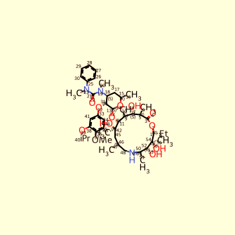 CC[C@H]1OC(=O)[C@H](C)[C@@H](O)[C@H](C)[C@@H](O[C@@H]2O[C@H](C)C[C@H](N(C)C(=O)N(C)c3ccccc3)[C@H]2Oc2ccc(OC)c(OC(C)C)c2)[C@](C)(O)C[C@@H](C)CN[C@H](C)[C@@H](O)[C@]1(C)O